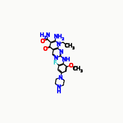 CCn1c(N)c(C(N)=O)c(=O)c2cnc(Nc3c(F)cc(N4CCNCC4)cc3OC)nc21